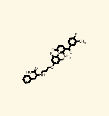 Cc1cc(C(=O)c2ccc(=O)n(-c3c(F)cc(OCCCNC(Cc4ccccc4)C(=O)O)cc3F)c2N)ccc1F